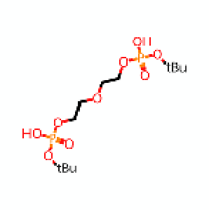 CC(C)(C)OP(=O)(O)OCCOCCOP(=O)(O)OC(C)(C)C